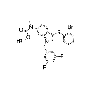 CN(C(=O)OC(C)(C)C)c1ccc2c(Sc3ccccc3Br)cn(Cc3cc(F)cc(F)c3)c2c1